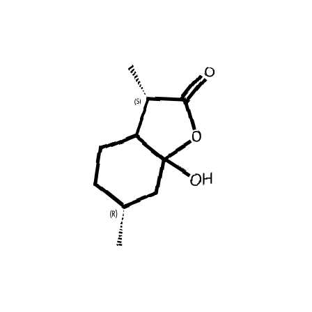 C[C@@H]1CCC2[C@H](C)C(=O)OC2(O)C1